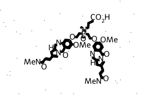 CNC(=O)/C=C/C1=CN2C(=O)c3cc(OC)c(OCCP(=O)(CCOc4cc5c(cc4OC)C(=O)N4C=C(/C=C/C(=O)NC)C[C@H]4C=N5)N(C)CCCC(=O)O)cc3N=C[C@@H]2C1